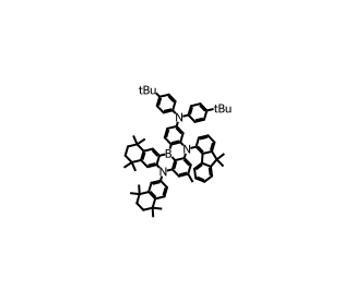 Cc1cc2c3c(c1)N(c1cccc4c1-c1ccccc1C4(C)C)c1cc(N(c4ccc(C(C)(C)C)cc4)c4ccc(C(C)(C)C)cc4)ccc1B3c1cc3c(cc1N2c1ccc2c(c1)C(C)(C)CCC2(C)C)C(C)(C)CCC3(C)C